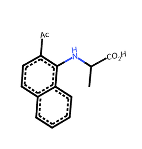 CC(=O)c1ccc2ccccc2c1NC(C)C(=O)O